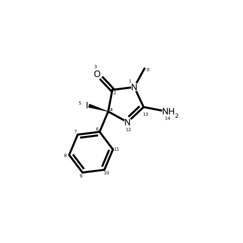 CN1C(=O)[C@@](I)(c2ccccc2)N=C1N